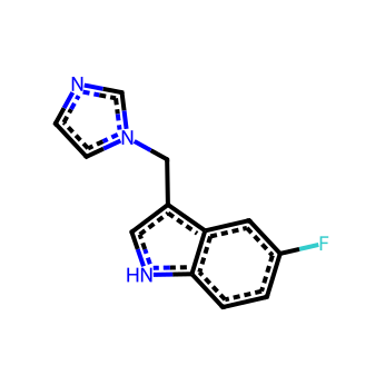 Fc1ccc2[nH]cc(Cn3ccnc3)c2c1